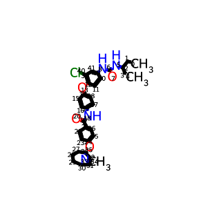 CCC(CC)NC(=O)Nc1ccc(Oc2ccc(NC(=O)c3ccc(OC45CCCC(CC4)N5C)cc3)cc2)c(Cl)c1